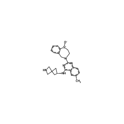 Cc1ccc2nc(N3CC[S+]([O-])c4ccccc4C3)nc(NC3CC4(CNC4)C3)c2c1